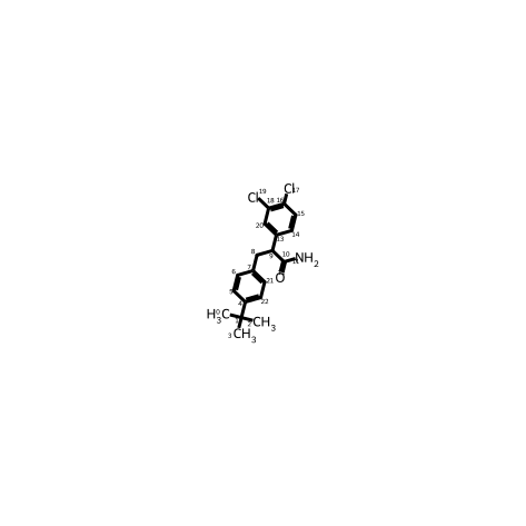 CC(C)(C)c1ccc(CC(C(N)=O)c2ccc(Cl)c(Cl)c2)cc1